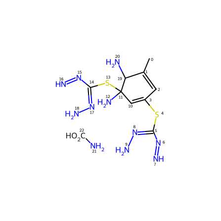 CC1=CC(SC(N=N)=NN)=CC(N)(SC(N=N)=NN)C1N.NC(=O)O